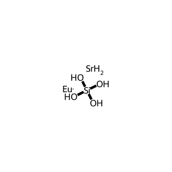 O[Si](O)(O)O.[Eu].[SrH2]